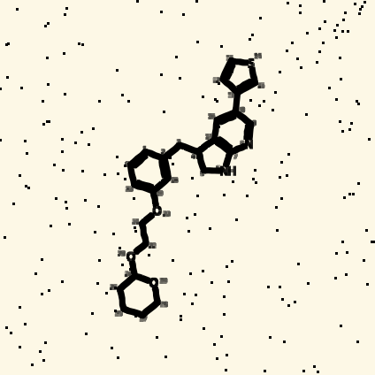 c1cc(CC2CNc3ncc(-c4ccsc4)cc32)cc(OCCOC2CCCCO2)c1